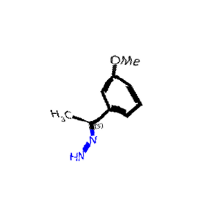 COc1cccc([C@H](C)N=N)c1